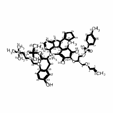 C=CCOC[C@H](COS(=O)(=O)c1ccc(C)cc1)Oc1c(Cl)c(C)c(-c2c(C3=CCCC3)sc3ncnc(OC(Cc4cc(O)ccc4OCOCC[Si](C)(C)C)C(=O)OC(C)(C)C)c23)c(C)c1Cl